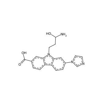 NC(O)CCn1c2cc(C(=O)O)ccc2c2ccc(-n3ccnc3)cc21